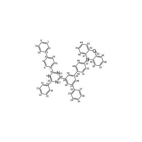 c1ccc(-c2ccc(-c3nc(-c4ccccc4)nc(-c4cc(-c5ccccc5)cc(-c5ccc(N6c7ccccc7Oc7ccccc76)cc5)c4)n3)cc2)cc1